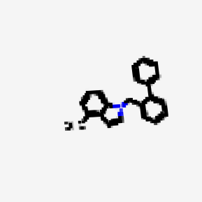 O=Cc1cccc2c1ccn2Cc1ccccc1-c1ccccc1